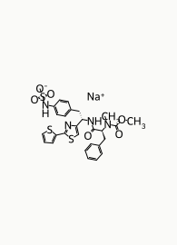 COC(=O)N(C)[C@@H](Cc1ccccc1)C(=O)N[C@@H](Cc1ccc(NS(=O)(=O)[O-])cc1)c1csc(-c2cccs2)n1.[Na+]